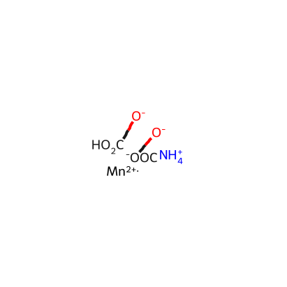 O=C([O-])O.O=C([O-])[O-].[Mn+2].[NH4+]